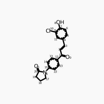 O=C(/C=C/c1ccc(O)c(Cl)c1)c1ccc(N2CCCC2=O)cc1